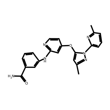 Cc1cccc(-n2nc(C)cc2Oc2ccnc(Nc3cccc(C(N)=O)c3)c2)n1